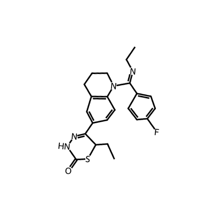 CC/N=C(/c1ccc(F)cc1)N1CCCc2cc(C3=NNC(=O)SC3CC)ccc21